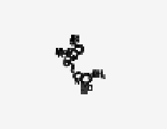 CCOc1cccc(CN(C)C(=O)C=Cc2cnc3c(c2)CN(C)CC(=O)N3)c1OC